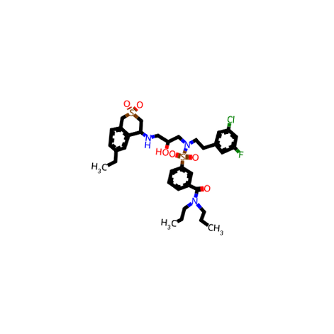 CCCN(CCC)C(=O)c1cccc(S(=O)(=O)N(CCc2cc(F)cc(Cl)c2)CC(O)CNC2CS(=O)(=O)Cc3ccc(CC)cc32)c1